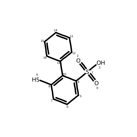 O=S(=O)(O)c1cccc(S)c1-c1ccccc1